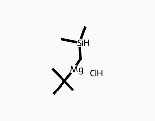 C[SiH](C)[CH2][Mg][C](C)(C)C.Cl